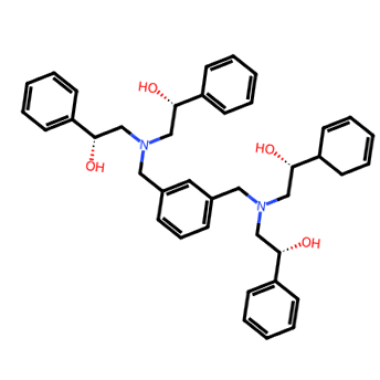 O[C@@H](CN(Cc1cccc(CN(C[C@H](O)c2ccccc2)C[C@H](O)C2C=CC=CC2)c1)C[C@H](O)c1ccccc1)c1ccccc1